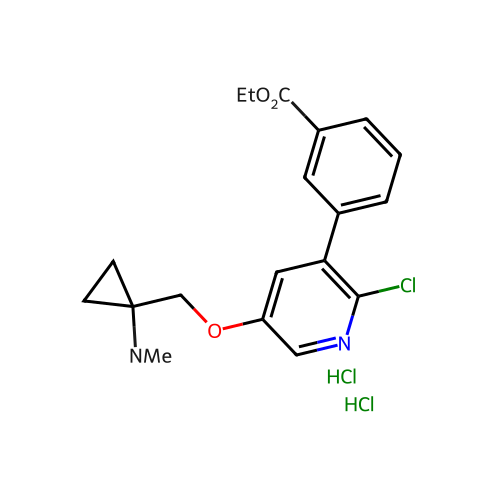 CCOC(=O)c1cccc(-c2cc(OCC3(NC)CC3)cnc2Cl)c1.Cl.Cl